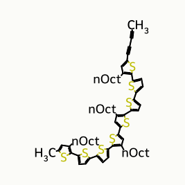 CC#CC#Cc1cc(CCCCCCCC)c(-c2ccc(-c3ccc(-c4sc(-c5cc(CCCCCCCC)c(-c6ccc(-c7ccc(-c8sc(C)cc8CCCCCCCC)s7)s6)s5)cc4CCCCCCCC)s3)s2)s1